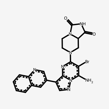 Nc1c(Br)c(N2CCN3C(=O)NC(=O)C3C2)nc2c(-c3cnc4ccccc4c3)cnn12